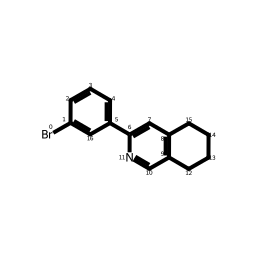 Brc1cccc(-c2cc3c(cn2)CCCC3)c1